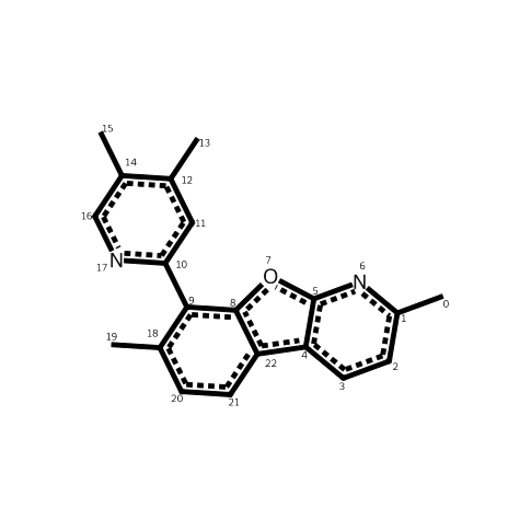 Cc1ccc2c(n1)oc1c(-c3cc(C)c(C)cn3)c(C)ccc12